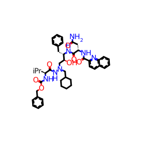 CC(C)[C@H](NC(=O)OCc1ccccc1)C(=O)NN(CC1CCCCC1)C[C@H](O)[C@H](Cc1ccccc1)NC(=O)[C@H](CC(N)=O)NC(=O)c1ccc2ccccc2n1